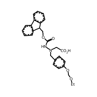 CCOCOc1ccc(CN(CC(=O)O)NC(=O)OCC2c3ccccc3-c3ccccc32)cc1